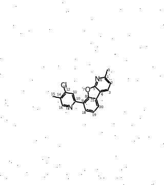 Cc1ccc2c(n1)oc1c(-c3cc(Cl)c(C)cn3)cccc12